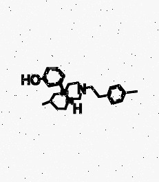 Cc1ccc(CCN2CC[C@@]3(c4cccc(O)c4)CC(C)CC[C@@H]3C2)cc1